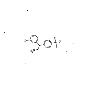 NCC(c1ccc(C(F)(F)F)cc1)c1cccc(Cl)c1